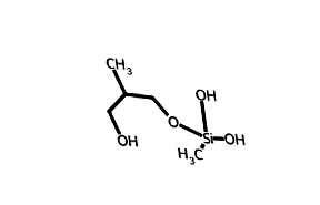 CC(CO)CO[Si](C)(O)O